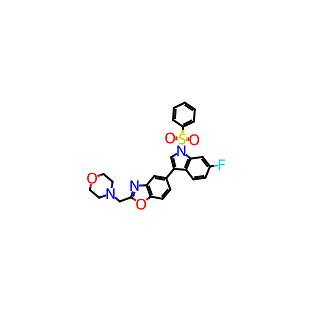 O=S(=O)(c1ccccc1)n1cc(-c2ccc3oc(CN4CCOCC4)nc3c2)c2ccc(F)cc21